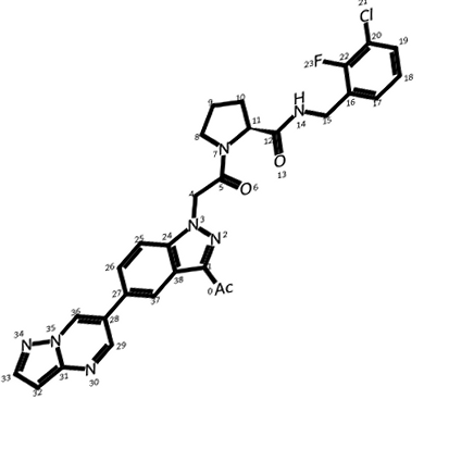 CC(=O)c1nn(CC(=O)N2CCC[C@H]2C(=O)NCc2cccc(Cl)c2F)c2ccc(-c3cnc4ccnn4c3)cc12